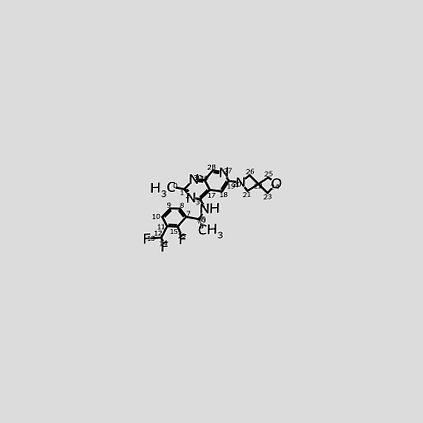 Cc1nc(N[C@H](C)c2cccc(C(F)F)c2F)c2cc(N3CC4(COC4)C3)ncc2n1